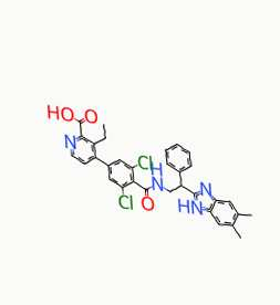 CCc1c(-c2cc(Cl)c(C(=O)NCC(c3ccccc3)c3nc4cc(C)c(C)cc4[nH]3)c(Cl)c2)ccnc1C(=O)O